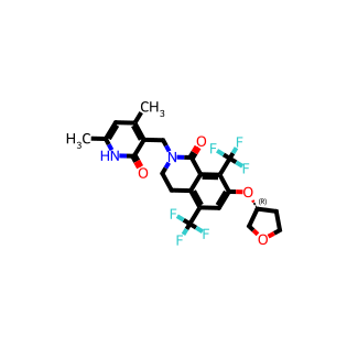 Cc1cc(C)c(CN2CCc3c(C(F)(F)F)cc(O[C@@H]4CCOC4)c(C(F)(F)F)c3C2=O)c(=O)[nH]1